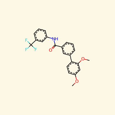 COc1ccc(-c2cccc(C(=O)Nc3cccc(C(F)(F)F)c3)c2)c(OC)c1